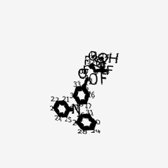 O=C(OC(C(F)(F)F)C(F)(F)S(=O)(=O)O)c1ccc(N(c2ccccc2)c2ccccc2)cc1